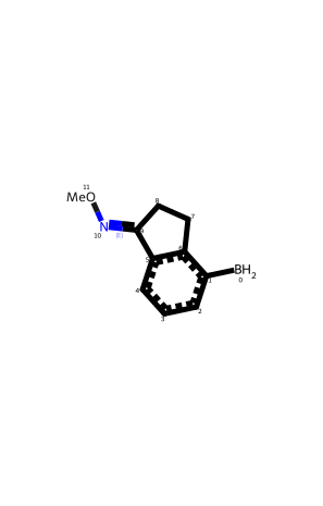 Bc1cccc2c1CC/C2=N\OC